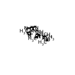 CC(=O)N1C[C@@H](Oc2nn(C)cc2Nc2ncc3cc(C#N)n([C@H]4COC[C@@H]4C)c3n2)C1(C)C